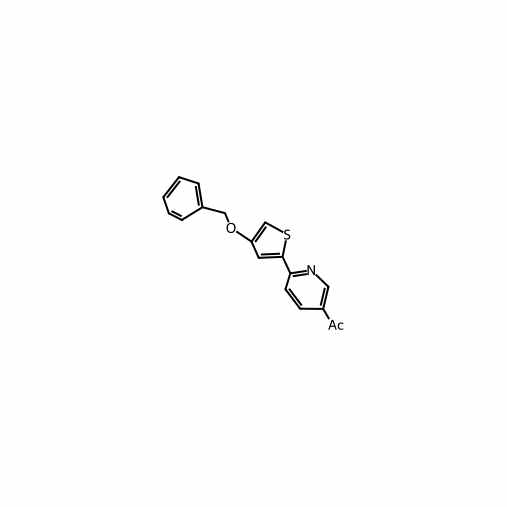 CC(=O)c1ccc(-c2cc(OCc3ccccc3)cs2)nc1